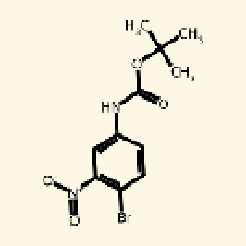 CC(C)(C)OC(=O)Nc1ccc(Br)c([N+](=O)[O-])c1